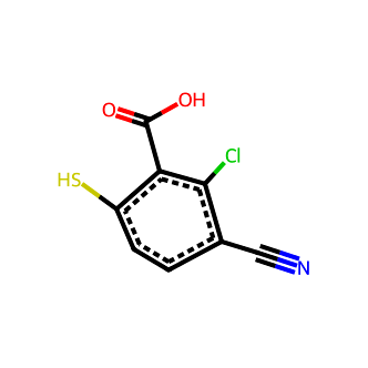 N#Cc1ccc(S)c(C(=O)O)c1Cl